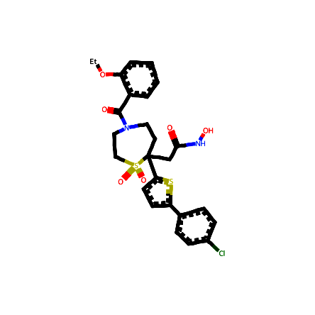 CCOc1ccccc1C(=O)N1CCC(CC(=O)NO)(c2ccc(-c3ccc(Cl)cc3)s2)S(=O)(=O)CC1